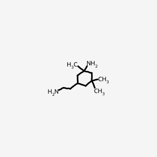 CC1(C)CC(CCN)CC(C)(N)C1